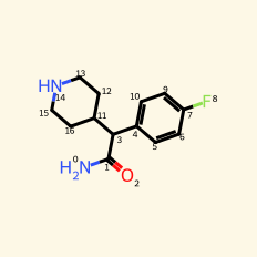 NC(=O)C(c1ccc(F)cc1)C1CCNCC1